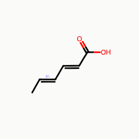 C/C=C/C=CC(=O)O